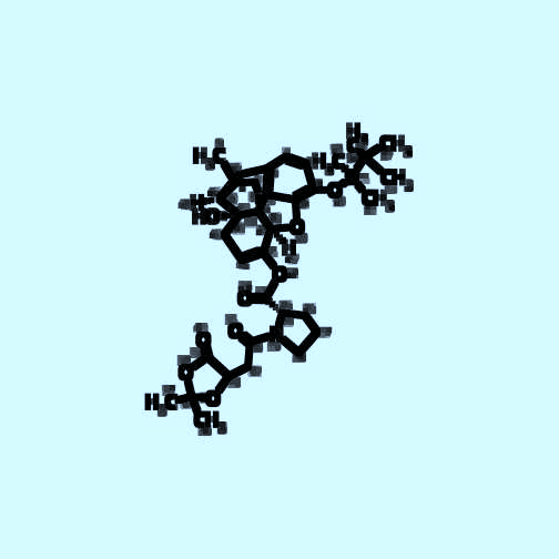 CC1CC[C@]23c4c5ccc(O[Si](C)(C)C(C)(C)C)c4O[C@H]2C(OC(=O)[C@@H]2CCCN2C(=O)CC2OC(C)(C)OC2=O)=CC[C@@]3(O)[C@H]1C5